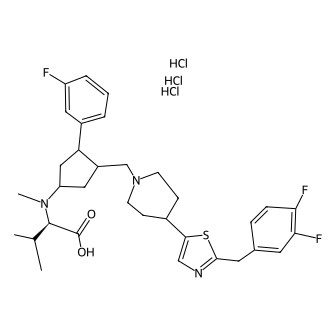 CC(C)[C@H](C(=O)O)N(C)C1CC(CN2CCC(c3cnc(Cc4ccc(F)c(F)c4)s3)CC2)C(c2cccc(F)c2)C1.Cl.Cl.Cl